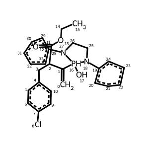 C=C(C(Cc1ccc(Cl)cc1)C(=O)OCC)[PH]1(O)N(c2ccccc2)CCN1c1ccccc1